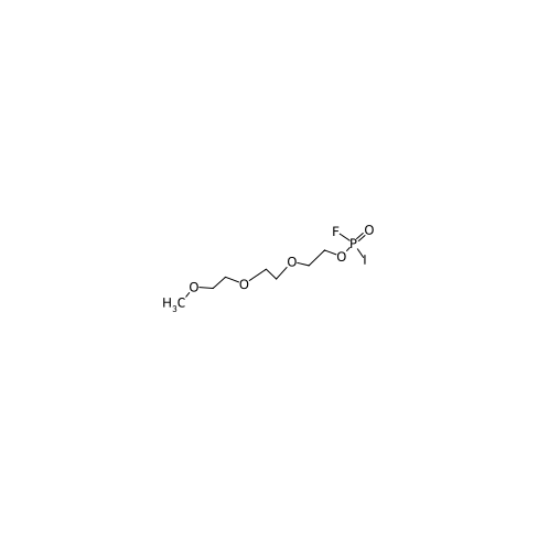 COCCOCCOCCOP(=O)(F)I